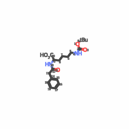 CC(C)(C)OC(=O)NCCCCC(NC(=O)Cc1ccccc1)C(=O)O